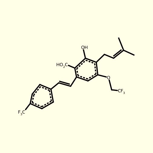 CC(C)=CCc1c(OCC(F)(F)F)cc(C=Cc2ccc(C(F)(F)F)cc2)c(C(=O)O)c1O